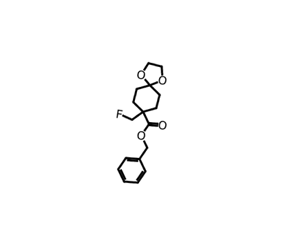 O=C(OCc1ccccc1)C1(CF)CCC2(CC1)OCCO2